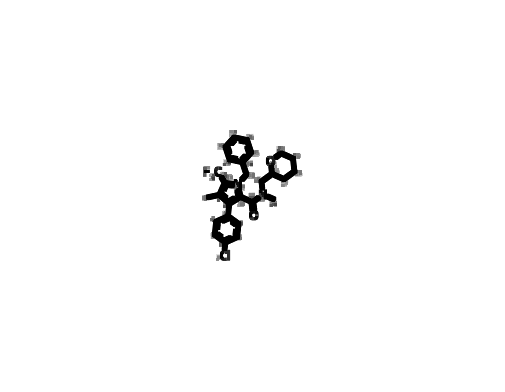 Cc1c(-c2ccc(Cl)cc2)c(C(=O)N(C)CC2CCCCO2)n(Cc2ccccc2)c1C(F)(F)F